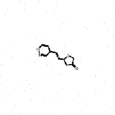 O=C1CSC(N=CC2C=CON=C2)C1